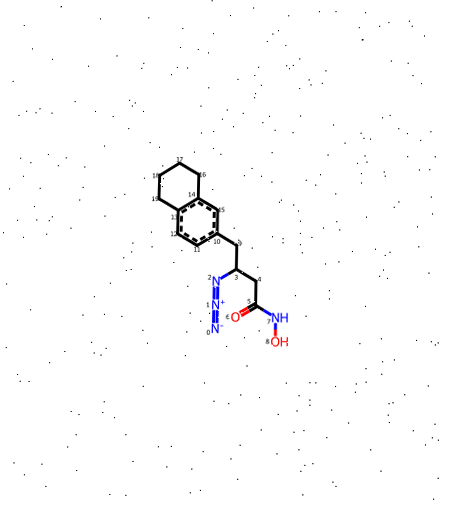 [N-]=[N+]=NC(CC(=O)NO)Cc1ccc2c(c1)CCCC2